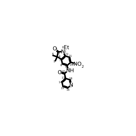 CCN1C(=O)C(C)(C)c2cc(NC(=O)c3cccnc3)c([N+](=O)[O-])cc21